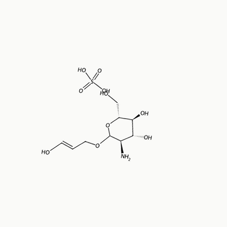 N[C@H]1C(OCC=CO)O[C@H](CO)[C@@H](O)[C@@H]1O.O=S(=O)(O)O